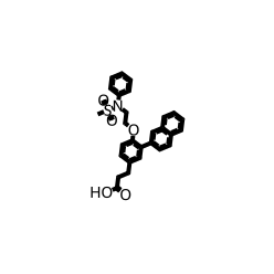 CS(=O)(=O)N(CCOc1ccc(CCC(=O)O)cc1-c1ccc2ccccc2c1)c1ccccc1